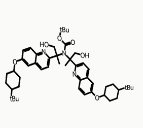 CC(C)(C)OC(=O)N(C(C)(CO)c1ccc2cc(OC3CCC(C(C)(C)C)CC3)ccc2n1)C(C)(CO)c1ccc2cc(OC3CCC(C(C)(C)C)CC3)ccc2n1